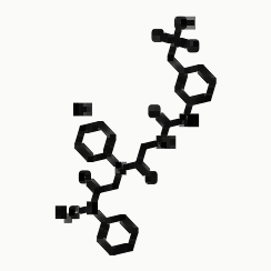 CN(C(=O)CN(C(=O)CNC(=O)Nc1cccc(CS(=O)(=O)O)c1)c1ccccc1)c1ccccc1.[KH]